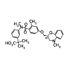 Cc1cc(OC[C@@H]2CN(C)c3ccccc3O2)ccc1S(=O)(=O)N(C)c1cccc(C(C)(C)C(=O)O)c1